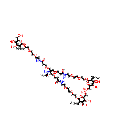 CCCC(=O)NC(COCCC(=O)NCCOCCOCCOC1OC(CO)C(O)C(O)C1NC(C)=O)(COCCC(=O)NCCOCCOCCOC1OC(CO)C(O)C(O)C1NC(C)=O)COCCC(=O)NCCOCCOCCOC1OC(CO)C(O)C(O)C1NC(C)=O